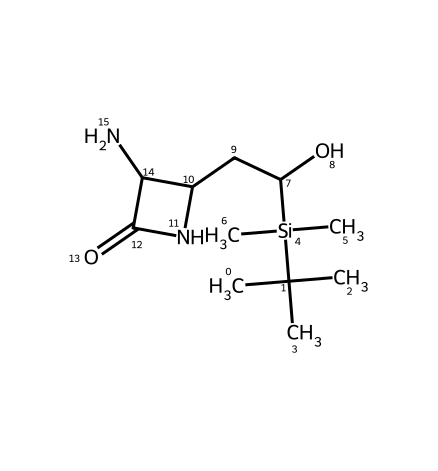 CC(C)(C)[Si](C)(C)C(O)CC1NC(=O)C1N